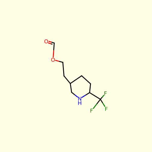 O=COCCC1CCC(C(F)(F)F)NC1